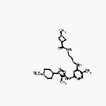 Cc1c(Nc2ncc(C(F)(F)F)c(NCCCNC(=O)C3CN(C)C3)n2)nnn1C1CCN(C)CC1